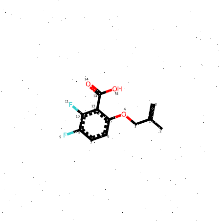 C=C(C)COc1ccc(F)c(F)c1C(=O)O